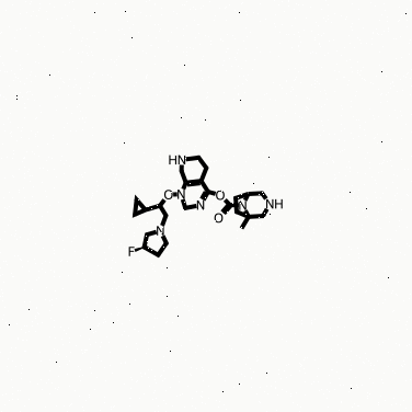 CC12CCC(CNC1)N2C(=O)OC1=NCN(OC(CN2CC[C@@H](F)C2)C2CC2)C2=C1CCNC2